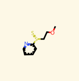 COCCS(=S)c1ccccn1